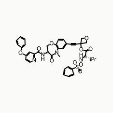 CC(C)[C@H](NOS(=O)(=O)c1ccccc1)C(=O)OC1(C#Cc2ccc3c(c2)N(C)C(=O)[C@@H](NC(=O)c2cc(Oc4ccccc4)ccn2)CO3)COC1